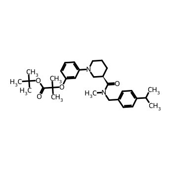 CC(C)c1ccc(CN(C)C(=O)[C@@H]2CCCN(c3cccc(OC(C)(C)C(=O)OC(C)(C)C)c3)C2)cc1